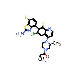 C=CC(=O)N1CCN(c2ccnc3c(F)c(-c4ccc(F)c5sc(N)nc45)c(Cl)cc23)[C@@H](C)C1